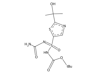 CC(C)(C)OC(=O)NS(=O)(=NC(N)=O)c1cnc(C(C)(C)O)s1